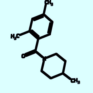 Cc1ccc(C(=O)N2CCC(C)CC2)c(C)c1